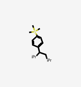 CC(C)CC(c1ccc(S(C)(C)C)cc1)C(C)C